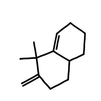 C=C1CCC2CCCC=C2C1(C)C